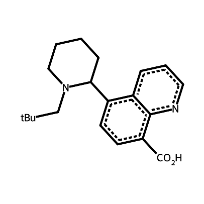 CC(C)(C)CN1CCCCC1c1ccc(C(=O)O)c2ncccc12